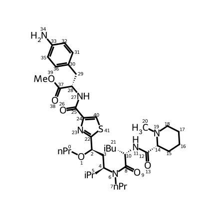 CCCO[C@H](C[C@H](C(C)C)N(CCC)C(=O)[C@@H](NC(=O)[C@H]1CCCCN1C)[C@@H](C)CC)c1nc(C(=O)N[C@@H](Cc2ccc(N)cc2)C(=O)OC)cs1